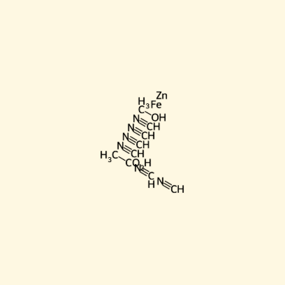 C#N.C#N.C#N.C#N.C#N.C#N.CC(=O)O.CO.[Fe].[Zn]